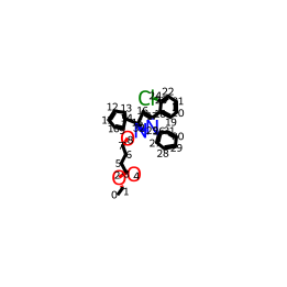 CCOC(=O)CCCOc1ccccc1-c1cc(-c2ccccc2Cl)n(-c2ccccc2)n1